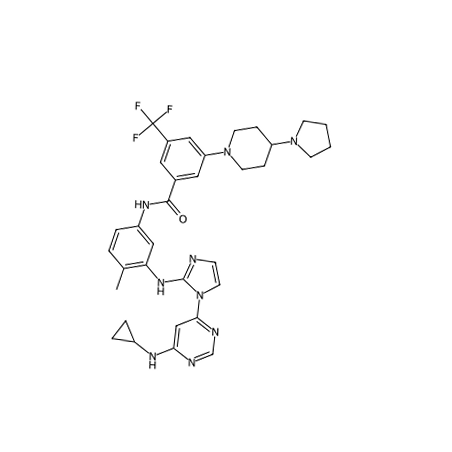 Cc1ccc(NC(=O)c2cc(N3CCC(N4CCCC4)CC3)cc(C(F)(F)F)c2)cc1Nc1nccn1-c1cc(NC2CC2)ncn1